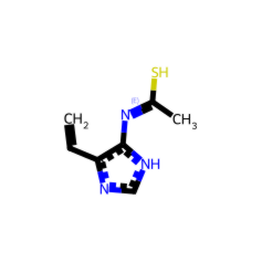 C=Cc1nc[nH]c1/N=C(\C)S